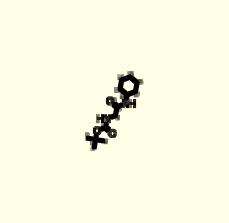 CC(C)(C)OC(=O)NCC(=O)NC1CCCCC1